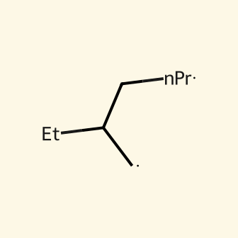 [CH2]C(CC)C[CH]CC